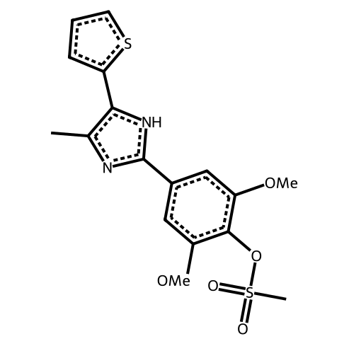 COc1cc(-c2nc(C)c(-c3cccs3)[nH]2)cc(OC)c1OS(C)(=O)=O